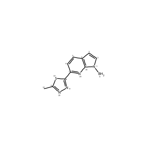 Bn1ccc2ccc(-c3nnc(C)s3)nc21